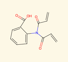 C=CC(=O)N(C(=O)C=C)c1ccccc1C(=O)O